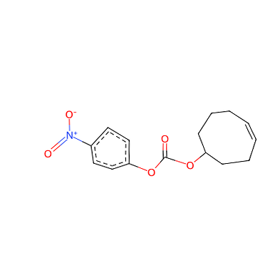 O=C(Oc1ccc([N+](=O)[O-])cc1)OC1CCC=CCCC1